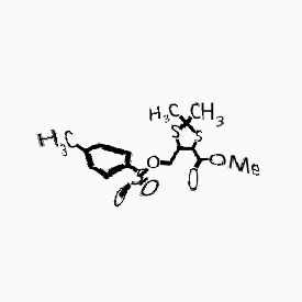 COC(=O)C1SC(C)(C)SC1COS(=O)(=O)c1ccc(C)cc1